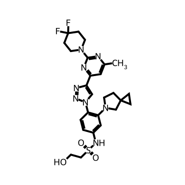 Cc1cc(-c2cn(-c3ccc(NS(=O)(=O)CCO)cc3N3CCC4(CC4)C3)nn2)nc(N2CCC(F)(F)CC2)n1